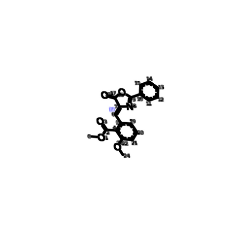 COC(=O)c1c(/C=C2\N=C(c3ccccc3)OC2=O)cccc1OC